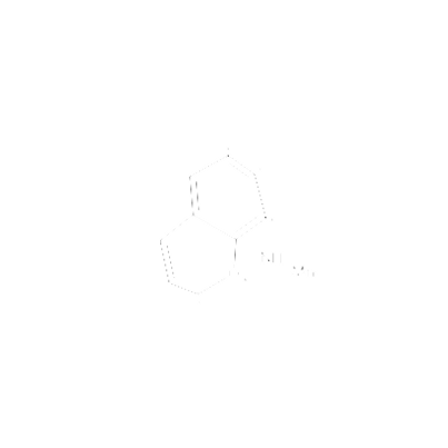 C1=Cc2ccccc2OC1.N.[Mn]